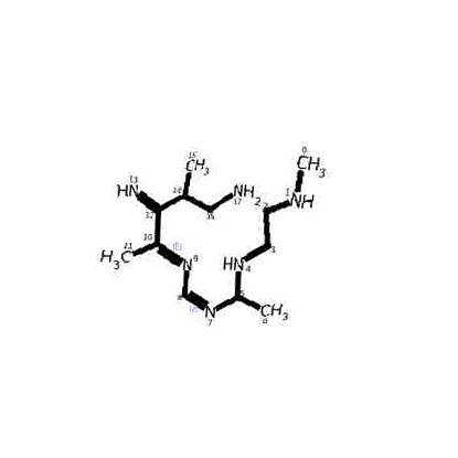 CNCCNC(C)/N=C\N=C(/C)C(=N)C(C)CN